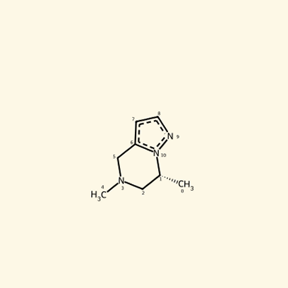 C[C@@H]1CN(C)Cc2ccnn21